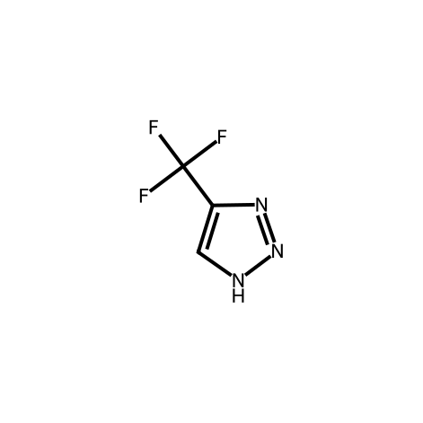 FC(F)(F)c1c[nH]nn1